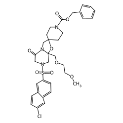 COCCOCC12CN(S(=O)(=O)c3ccc4cc(Cl)ccc4c3)CC(=O)N1CC1(CCN(C(=O)OCc3ccccc3)CC1)O2